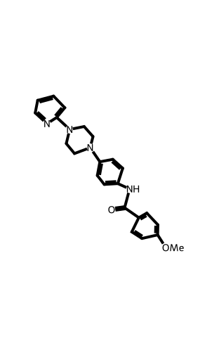 COc1ccc(C(=O)Nc2ccc(N3CCN(c4ccccn4)CC3)cc2)cc1